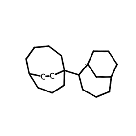 C1CCC2(C3CCCC4CCC[C]3C4)CCCC(C1)CC2